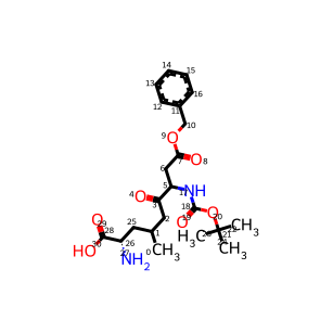 CC(CC(=O)C(CC(=O)OCc1ccccc1)NC(=O)OC(C)(C)C)C[C@H](N)C(=O)O